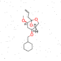 C=CCC12OC[C@@H](O1)[C@@H](OCC1CCCCC1)C[C@H]2OC